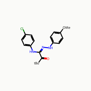 COc1ccc(N/N=C(/Nc2ccc(Cl)cc2)C(=O)C(C)(C)C)cc1